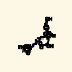 CC[C@H](O)[C@@H](C)[C@H]1O[C@@H]1CC(C)(O)/C=C/C=C(\C)[C@H]1OC(=O)C[C@H](O)CC[C@@](C)(OC(C)=O)[C@@H](OC(=O)N2CCN(CCO)CC2)/C=C/[C@@H]1C